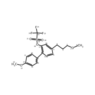 COCCCc1cnc(-c2ccc(OC)cc2)c(OS(=O)(=O)C(F)(F)F)c1